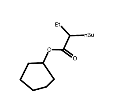 CCCCC(CC)C(=O)OC1CCCCC1